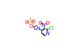 CS(=O)(=O)OC1CN(c2ccnc(Cl)c2[N+](=O)[O-])C1